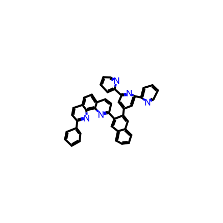 c1ccc(-c2ccc3ccc4ccc(-c5cc6ccccc6cc5-c5cc(-c6ccccn6)nc(-c6ccccn6)c5)nc4c3n2)cc1